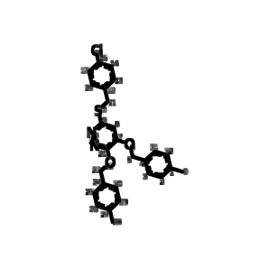 Cc1ccc(COc2cc(SCc3ccc(Cl)cc3)nnc2OCc2ccc(C)cc2)cc1